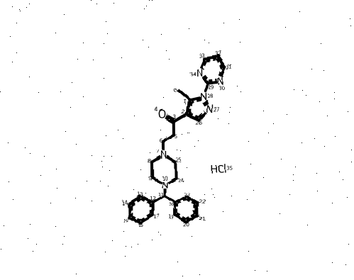 Cc1c(C(=O)CCN2CCN(C(c3ccccc3)c3ccccc3)CC2)cnn1-c1ncccn1.Cl